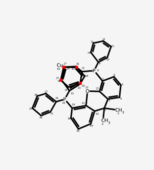 CC1(C)c2cccc(P(c3ccccc3)c3ccccc3)c2Oc2c(P(c3ccccc3)c3ccccc3)cccc21.[Cu]